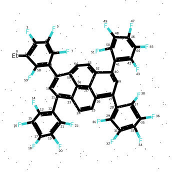 CCc1c(F)c(F)c(F)c(-c2cc(-c3c(F)c(F)c(F)c(F)c3F)c3ccc4c(-c5c(F)c(F)c(F)c(F)c5F)cc(-c5c(F)c(F)c(F)c(F)c5F)c5ccc2c3c45)c1F